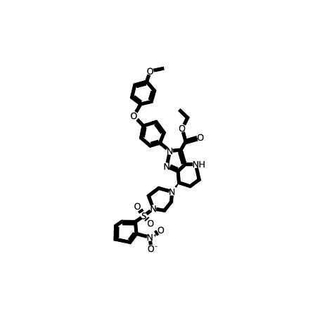 CCOC(=O)c1c2c(nn1-c1ccc(Oc3ccc(OC)cc3)cc1)[C@@H](N1CCN(S(=O)(=O)c3ccccc3[N+](=O)[O-])CC1)CCN2